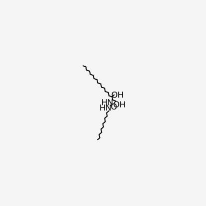 CCCCCCCCCCCCCCCC(O)C(CO)NC(=O)NCCCCCCCCCCCC